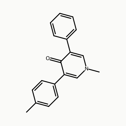 Cc1ccc(-c2cn(C)cc(-c3ccccc3)c2=O)cc1